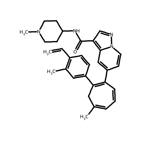 C=Cc1ccc(C2=C(c3ccn4ncc(C(=O)NC5CCN(C)CC5)c4c3)C=CC=C(C)C2)cc1C